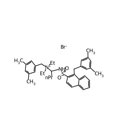 CCCC(NS(=O)(=O)c1ccc2ccccc2c1Cc1cc(C)cc(C)c1)[N+](CC)(CC)Cc1cc(C)cc(C)c1.[Br-]